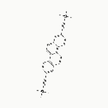 C[Si](C)(C)C#Cc1ccc2c(ccc3c4ccc(C#C[Si](C)(C)C)cc4ccc23)c1